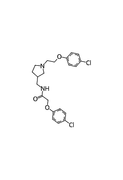 O=C(COc1ccc(Cl)cc1)NCC1CCN(CCOc2ccc(Cl)cc2)C1